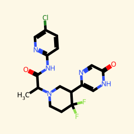 CC(C(=O)Nc1ccc(Cl)cn1)N1CCC(F)(F)C(c2c[nH]c(=O)cn2)C1